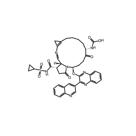 O=C(O)N[C@H]1CCCCC2=C(C2)/N=C\[C@H]2[C@@H](C(=O)NS(=O)(=O)C3CC3)CC(=O)N2[C@H](Oc2nc3ccccc3nc2-c2cnc3ccccc3c2)CCC1=O